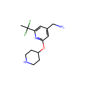 CC(F)(F)c1cc(CN)cc(OC2CCNCC2)n1